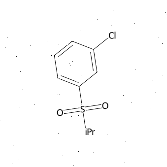 CC(C)S(=O)(=O)c1c[c]cc(Cl)c1